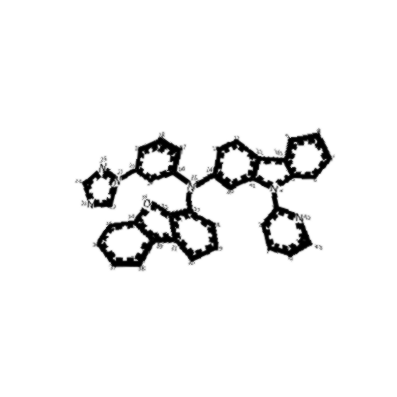 c1ccc(-n2c3ccccc3c3ccc(N(c4cccc(-n5cncn5)c4)c4cccc5c4oc4ccccc45)cc32)nc1